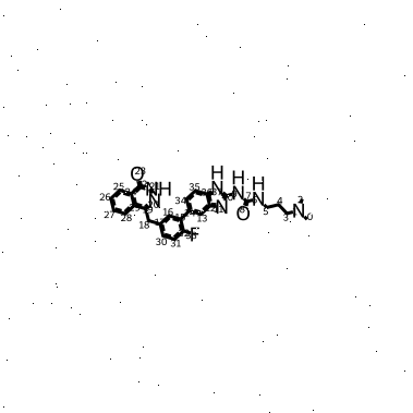 CN(C)CCCNC(=O)Nc1nc2cc(-c3cc(Cc4n[nH]c(=O)c5ccccc45)ccc3F)ccc2[nH]1